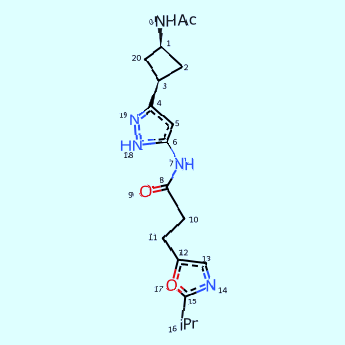 CC(=O)N[C@H]1C[C@@H](c2cc(NC(=O)CCc3cnc(C(C)C)o3)[nH]n2)C1